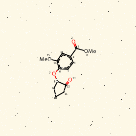 COC(=O)c1ccc(OC2CCCC2=O)c(OC)c1